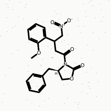 COc1ccccc1C(CC(=O)N1C(=O)OC[C@H]1Cc1ccccc1)C[N+](=O)[O-]